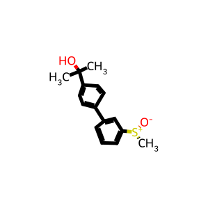 C[S+]([O-])c1cccc(-c2ccc(C(C)(C)O)cc2)c1